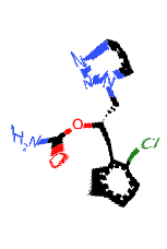 NC(=O)O[C@H](Cn1ccnn1)c1ccccc1Cl